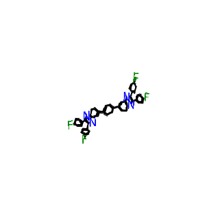 Fc1ccc(-c2nc3c(nc2C2=CCC(F)C=C2)C=C(C2=CC=C(C4=Cc5nc(-c6ccc(F)cc6)c(-c6ccc(F)cc6)nc5CC4)CC2)CC3)cc1